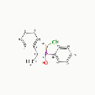 CC(c1ccccc1)P(=O)(SCl)c1ccccc1